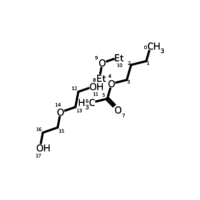 CCCCOC(C)=O.CCOCC.OCCOCCO